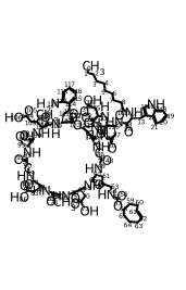 CCCCCCCCCC(=O)N[C@@H](Cc1c[nH]c2ccccc12)C(=O)N[C@@H](CC(N)=O)C(=O)NC(CC(=O)O)C(=O)N[C@@H]1C(=O)NCC(=O)N[C@@H](CCCNC(=O)OC2CC/C=C/CCC2)C(=O)N[C@@H](CC(=O)O)C(=O)N[C@H](C)C(=O)N[C@@H](CC(=O)O)C(=O)NCC(=O)N[C@H](CO)C(=O)N[C@@H]([C@@H](C)CC(=O)O)C(=O)N[C@@H](CC(=O)c2ccccc2N)C(=O)O[C@@H]1C